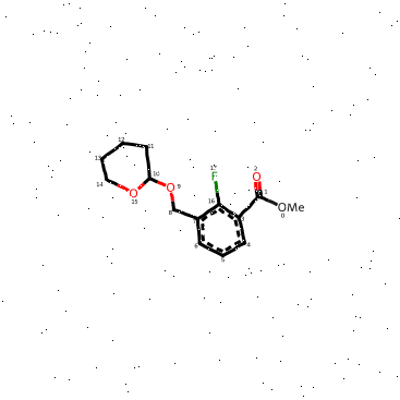 COC(=O)c1cccc(COC2CCCCO2)c1F